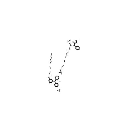 Cc1sc2c(c1C)C(c1ccc(Cl)cc1)=N[C@H](CC(=O)NCCCCOCCOCCNC(=O)C1(F)C[N+](=C3C=CC4=C(c5cc(C(=O)NCCOCCOCCCCCCCl)ccc5C(=O)[O-])c5ccc(N6CC(F)C6)cc5[Si](C)(C)C4=C3)C1)c1nnc(C)n1-2